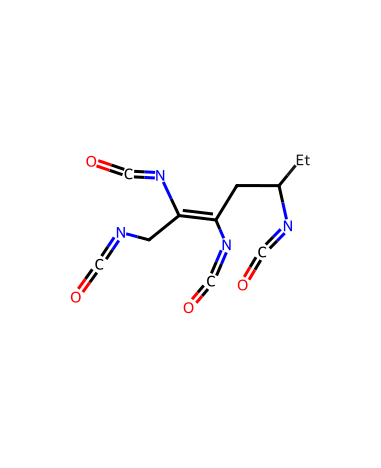 CCC(CC(N=C=O)=C(CN=C=O)N=C=O)N=C=O